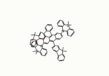 CC1(C)c2ccccc2-c2ccc(-c3ccccc3-c3c4ccc(N5c6ccccc6[Si](C)(C)c6ccccc65)cc4c(-c4ccc5c(c4)C(C)(C)c4ccccc4-5)c4ccc(N5c6ccccc6[Si](C)(C)c6ccccc65)cc34)cc21